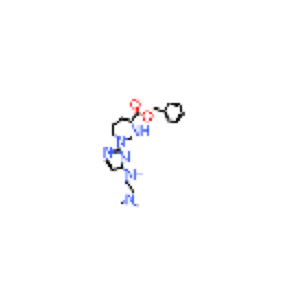 CN(C)CCNc1ccnc(N2CCCC(C(=O)OCc3ccccc3)NC2)n1